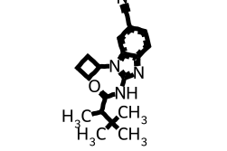 CC(C(=O)Nc1nc2ccc(C#N)cc2n1C1CCC1)C(C)(C)C